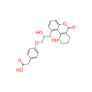 O=C(O)Cc1ccc(OCC(O)C(O)c2cccc3oc(=O)c4c(c23)CCCC4)cc1